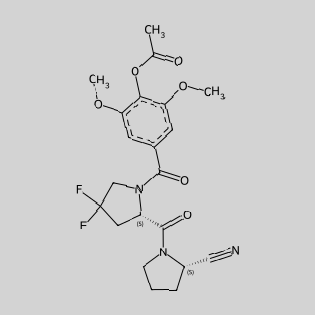 COc1cc(C(=O)N2CC(F)(F)C[C@H]2C(=O)N2CCC[C@H]2C#N)cc(OC)c1OC(C)=O